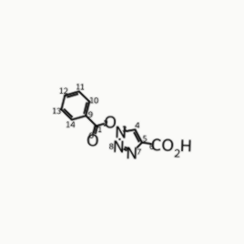 O=C(On1cc(C(=O)O)nn1)c1ccccc1